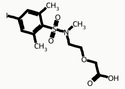 Cc1cc(I)cc(C)c1S(=O)(=O)N(C)CCOCC(=O)O